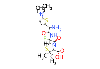 CCN(CC)c1ccc(C(N)C(=O)NC2(F)C(=O)N3[C@@H](C(=O)O)C(C)(C)S[C@@H]32)s1